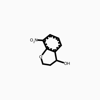 O=[N+]([O-])c1cccc2c1OCCC2O